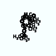 COc1c2nc(nc1-c1c(C)cccc1C)NS(=O)(=O)c1cccc(c1)C(=O)N(C1CC3(CCN(C(=O)OC(C)(C)C)CC3)C1)[C@H](CC(C)C)CO2